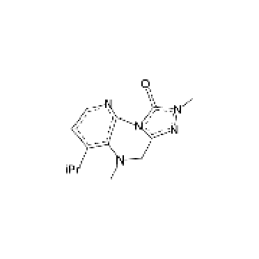 CC(C)c1ccnc2c1N(C)Cc1nn(C)c(=O)n1-2